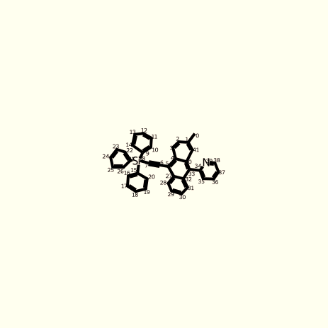 Cc1ccc2c(C#C[Si](c3ccccc3)(c3ccccc3)c3ccccc3)c3ccccc3c(-c3ccccn3)c2c1